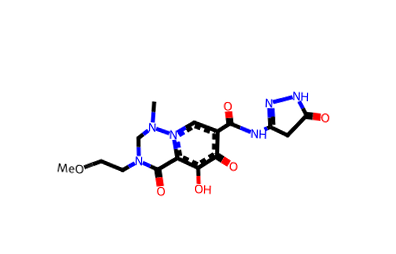 COCCN1CN(C)n2cc(C(=O)NC3=NNC(=O)C3)c(=O)c(O)c2C1=O